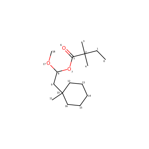 CCC(C)(C)C(=O)OC(CC1(C)CCCCC1)OC